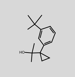 CC(C)(C)c1cccc(C2(C(C)(C)O)CC2)c1